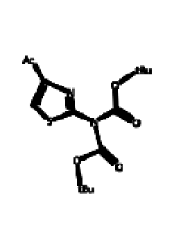 CC(=O)c1csc(N(C(=O)OC(C)(C)C)C(=O)OC(C)(C)C)n1